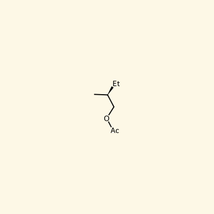 [CH2]C[C@H](C)COC(C)=O